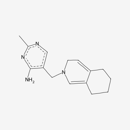 Cc1ncc(CN2C=C3CCCCC3=CC2)c(N)n1